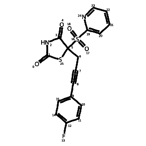 O=C1NC(=O)C(CC#Cc2ccc(F)cc2)(S(=O)(=O)c2ccccn2)S1